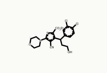 CCOC(=O)c1sc(N2CCOCC2)c(C#N)c1C(CCO)c1ccc(Cl)c(Cl)c1